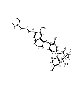 CCN(CC)CCCOc1cc2nccc(Oc3ccc(N(C(=O)[C@]4(C(N)=O)C[C@H]4C)c4ccc(F)cc4)cc3F)c2cc1OC